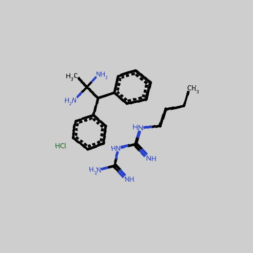 CC(N)(N)C(c1ccccc1)c1ccccc1.CCCCNC(=N)NC(=N)N.Cl